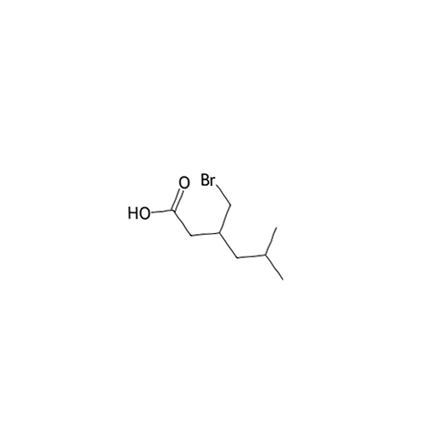 CC(C)CC(CBr)CC(=O)O